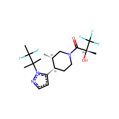 C[C@@H]1CN(C(=O)[C@@](C)(O)C(F)(F)F)CC[C@@H]1c1ccnn1C(C)(C)C(C)(F)F